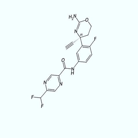 C#C[C@@]1(c2cc(NC(=O)c3cnc(C(F)F)cn3)ccc2F)CCOC(N)=N1